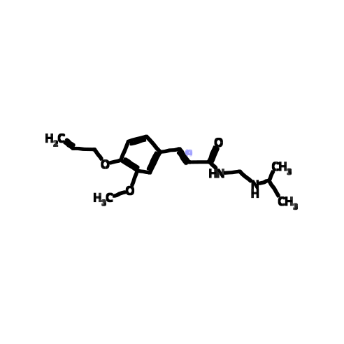 C=CCOc1ccc(/C=C/C(=O)NCNC(C)C)cc1OC